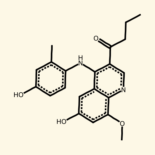 CCCC(=O)c1cnc2c(OC)cc(O)cc2c1Nc1ccc(O)cc1C